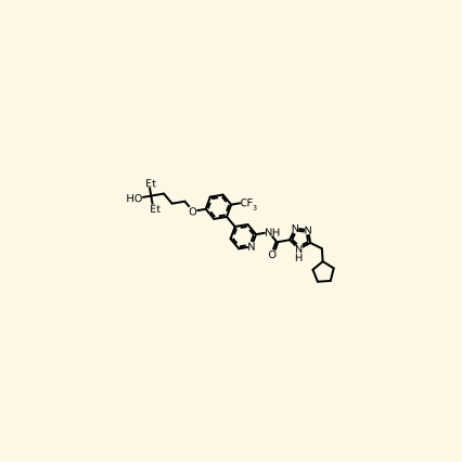 CCC(O)(CC)CCCOc1ccc(C(F)(F)F)c(-c2ccnc(NC(=O)c3nnc(CC4CCCC4)[nH]3)c2)c1